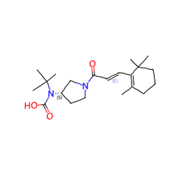 CC1=C(/C=C/C(=O)N2CC[C@H](N(C(=O)O)C(C)(C)C)C2)C(C)(C)CCC1